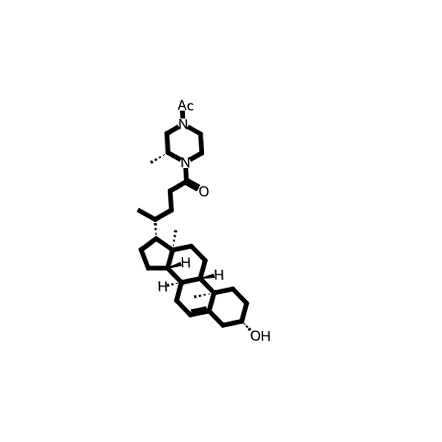 CC(=O)N1CCN(C(=O)CCC(C)[C@H]2CC[C@H]3[C@@H]4CC=C5C[C@@H](O)CC[C@]5(C)[C@H]4CC[C@]23C)[C@H](C)C1